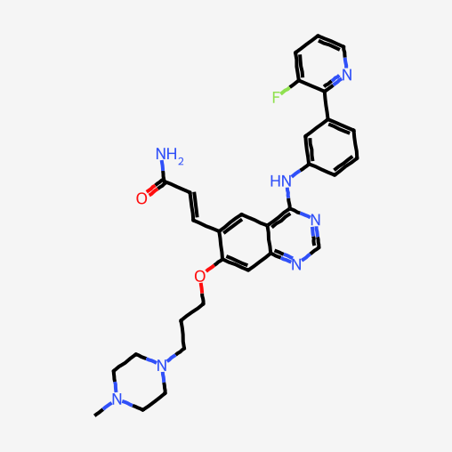 CN1CCN(CCCOc2cc3ncnc(Nc4cccc(-c5ncccc5F)c4)c3cc2C=CC(N)=O)CC1